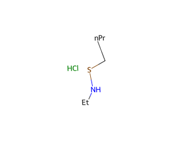 CCCCSNCC.Cl